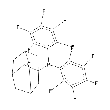 Fc1c(F)c(F)c(P(c2c(F)c(F)c(F)c(F)c2F)C23CC4CC(CC(C4)C2)C3)c(F)c1F